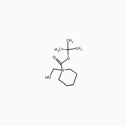 CC(C)(C)OC(=O)[N+]1(CO)CCCCC1